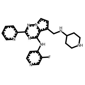 Fc1cnccc1Nc1nc(-c2ccccn2)nn2ccc(CNC3CCNCC3)c12